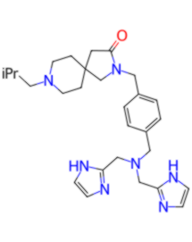 CC(C)CN1CCC2(CC1)CC(=O)N(Cc1ccc(CN(Cc3ncc[nH]3)Cc3ncc[nH]3)cc1)C2